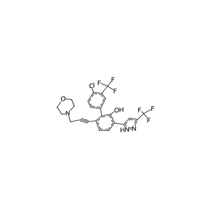 Oc1c(-c2cc(C(F)(F)F)n[nH]2)ccc(C#CCN2CCOCC2)c1-c1ccc(Cl)c(C(F)(F)F)c1